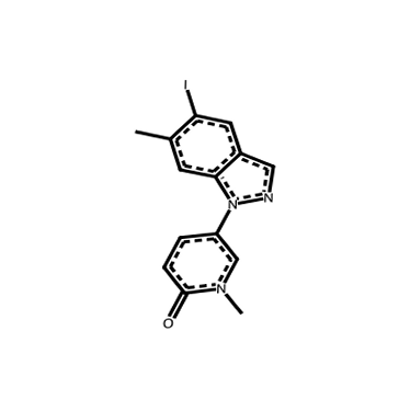 Cc1cc2c(cnn2-c2ccc(=O)n(C)c2)cc1I